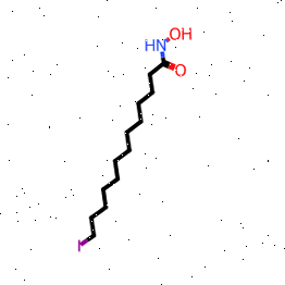 O=C(CCCCCCCCCCCCI)NO